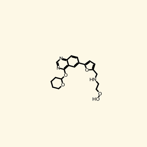 OOCCNCc1ccc(-c2ccc3ncnc(OC4CCCCO4)c3c2)o1